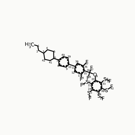 CCCC1CCC(c2ccc(-c3cc(F)c(C(F)(F)Oc4c(SF)c(SF)c(SF)c(SF)c4SF)c(F)c3)cc2)CC1